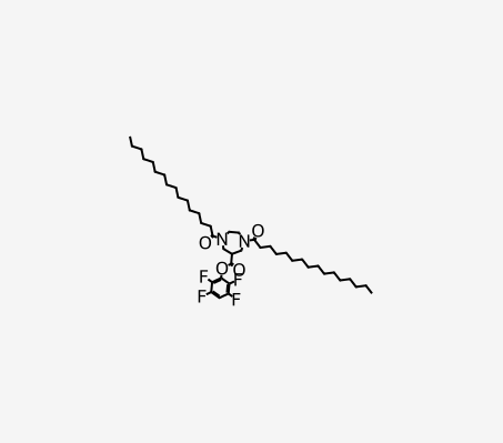 CCCCCCCCCCCCCCCC(=O)N1CCN(C(=O)CCCCCCCCCCCCCCC)CC(C(=O)Oc2c(F)c(F)cc(F)c2F)C1